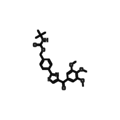 COc1cc(C(=O)c2csc(-c3ccc(COC(=O)NC(C)(C)C)cc3)n2)cc(OC)c1OC